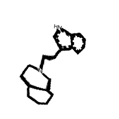 c1ccc2c(CCN3CCC4CCCCC4C3)c[nH]c2c1